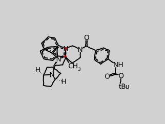 Cc1nc2ccccc2n1[C@H]1C[C@H]2CC[C@@H](C1)N2CCC1(c2ccccc2)CCN(C(=O)c2ccc(NC(=O)OC(C)(C)C)cc2)CC1